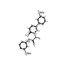 COc1cccc(NC(=O)C(C)n2nc(-c3cccc(OC)c3)ccc2=O)c1